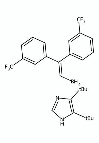 BC=C(c1cccc(C(F)(F)F)c1)c1cccc(C(F)(F)F)c1.CC(C)(C)c1nc[nH]c1C(C)(C)C